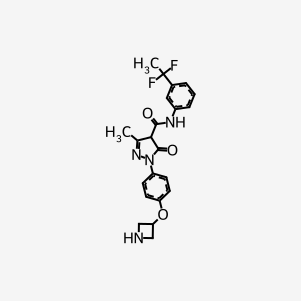 CC1=NN(c2ccc(OC3CNC3)cc2)C(=O)C1C(=O)Nc1cccc(C(C)(F)F)c1